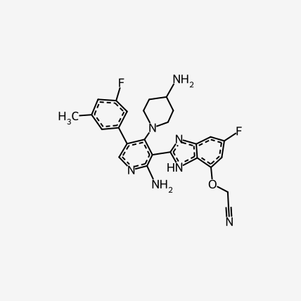 Cc1cc(F)cc(-c2cnc(N)c(-c3nc4cc(F)cc(OCC#N)c4[nH]3)c2N2CCC(N)CC2)c1